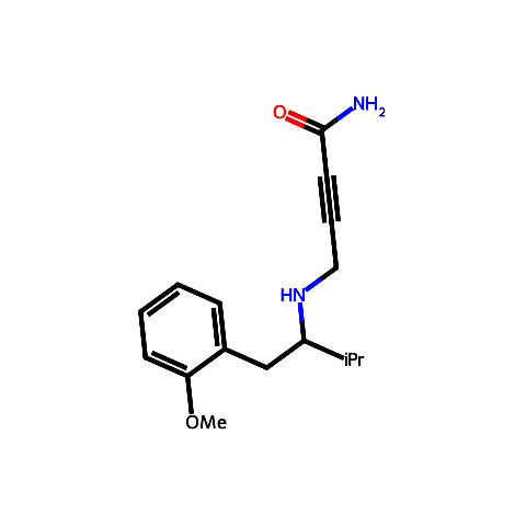 COc1ccccc1CC(NCC#CC(N)=O)C(C)C